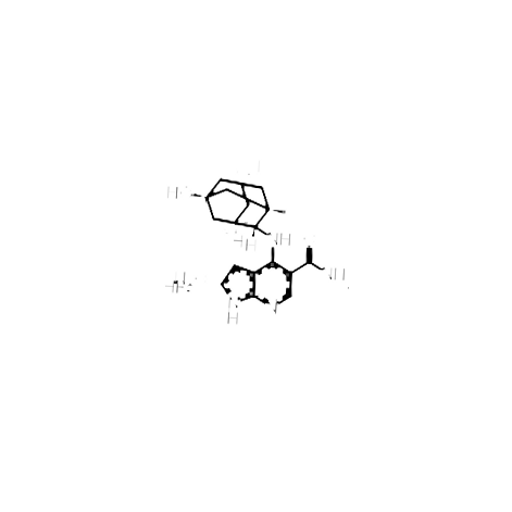 Br.NC(=O)c1cnc2[nH]ccc2c1N[C@@H]1[C@@H]2C[C@@H]3C[C@H]1C[C@@](O)(C3)C2.O